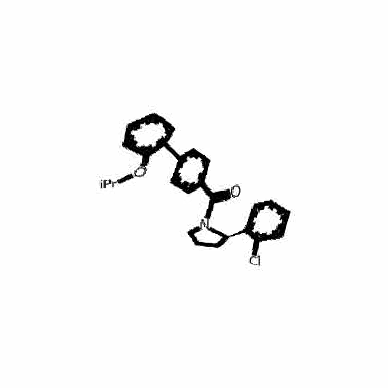 CC(C)Oc1ccccc1-c1ccc(C(=O)N2CCC[C@@H]2c2ccccc2Cl)cc1